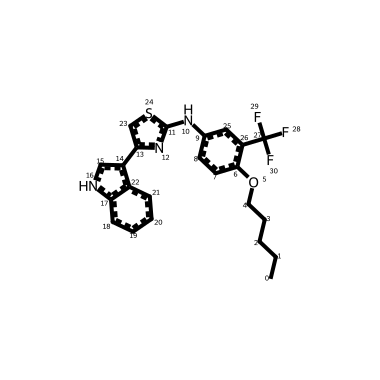 CCCCCOc1ccc(Nc2nc(-c3c[nH]c4ccccc34)cs2)cc1C(F)(F)F